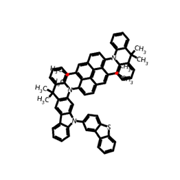 CC(C)c1cc2ccc(N3c4ccccc4C(C)(C)c4cc5c6ccccc6n(-c6ccc7sc8ccccc8c7c6)c5cc43)c3c(C(C)C)cc4ccc(N5c6ccccc6C(C)(C)c6ccccc65)c1c4c23